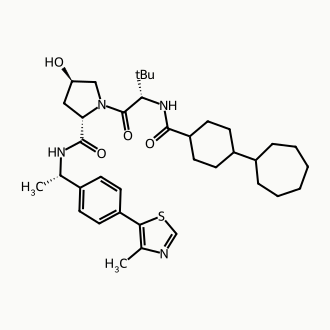 Cc1ncsc1-c1ccc([C@H](C)NC(=O)[C@@H]2C[C@@H](O)CN2C(=O)[C@@H](NC(=O)C2CCC(C3CCCCCC3)CC2)C(C)(C)C)cc1